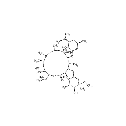 CCC1OC(=O)[C@H](C)C(OC2C[C@@](C)(OC)[C@@H](O)C(C)O2)C(C)C(OC2O[C@H](C)C[C@H](N(C)C)C2O)[C@](C)(O)CC(C)CN(C)[C@H](C)[C@@H](O)[C@]1(C)O